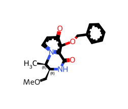 COC[C@@H]1NC(=O)c2c(OCc3ccccc3)c(=O)ccn2[C@@H]1C